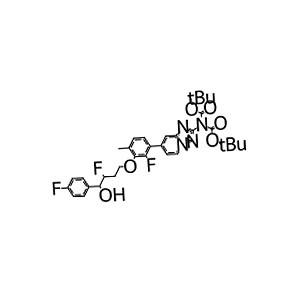 Cc1ccc(-c2ccn3nc(N(C(=O)OC(C)(C)C)C(=O)OC(C)(C)C)nc3c2)c(F)c1OCCC(F)C(O)c1ccc(F)cc1